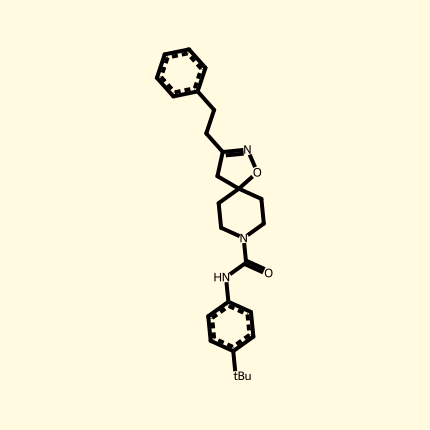 CC(C)(C)c1ccc(NC(=O)N2CCC3(CC2)CC(CCc2ccccc2)=NO3)cc1